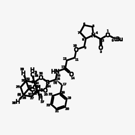 CC(C)(C)OC(=O)N1CCCC1COCCC(=O)N[C@H](Cc1ccccc1)B1O[C@@H]2C[C@@H]3C[C@@H](C3(C)C)[C@]2(C)O1